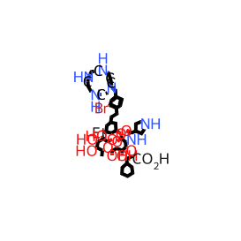 CCC1CC(CCc2ccc(CN3CCCNCCNCCCNCC3)cc2Br)CC(OC2OC(CO)C(O)C(O[C@@H](CC3CCCCC3)C(=O)O)C2NC(=O)C2CCNCC2)C1OC1OC(C)C(O)C(O)C1O